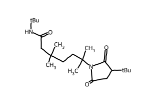 CC(C)(CCC(C)(C)N1C(=O)CC(C(C)(C)C)C1=O)CC(=O)NC(C)(C)C